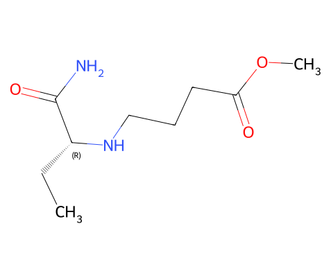 CC[C@@H](NCCCC(=O)OC)C(N)=O